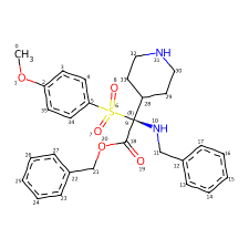 COc1ccc(S(=O)(=O)[C@@](NCc2ccccc2)(C(=O)OCc2ccccc2)C2CCNCC2)cc1